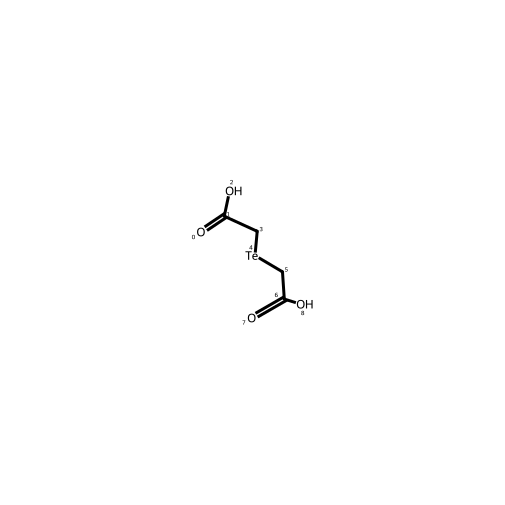 O=C(O)C[Te]CC(=O)O